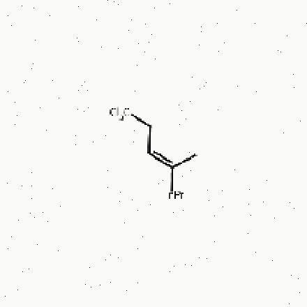 CCCC(C)=CCC(Cl)(Cl)Cl